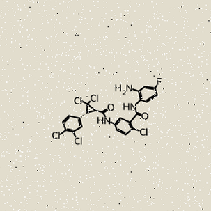 Nc1cc(F)ccc1NC(=O)c1cc(NC(=O)C2[C@H](c3ccc(Cl)c(Cl)c3)C2(Cl)Cl)ccc1Cl